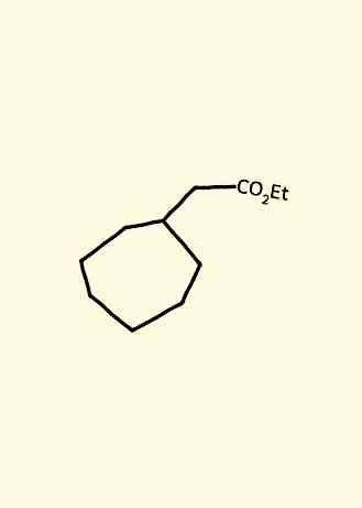 CCOC(=O)CC1CCCCCC1